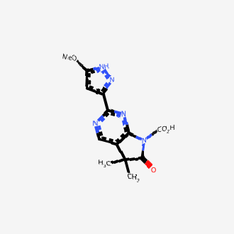 COc1cc(-c2ncc3c(n2)N(C(=O)O)C(=O)C3(C)C)n[nH]1